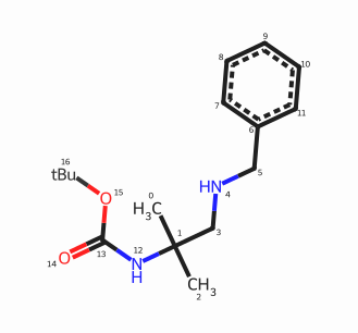 CC(C)(CNCc1ccccc1)NC(=O)OC(C)(C)C